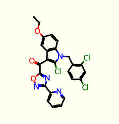 CCOc1ccc2c(c1)c(C(=O)c1nc(-c3ccccn3)no1)c(Cl)n2Cc1ccc(Cl)cc1Cl